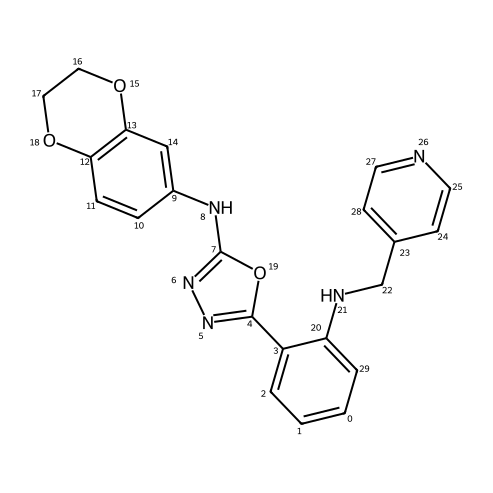 c1ccc(-c2nnc(Nc3ccc4c(c3)OCCO4)o2)c(NCc2ccncc2)c1